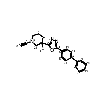 N#CN1CCCC(F)(c2nnc(-c3ccc(-c4ccccc4)cc3)o2)C1